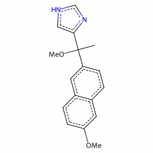 COc1ccc2cc(C(C)(OC)c3c[nH]cn3)ccc2c1